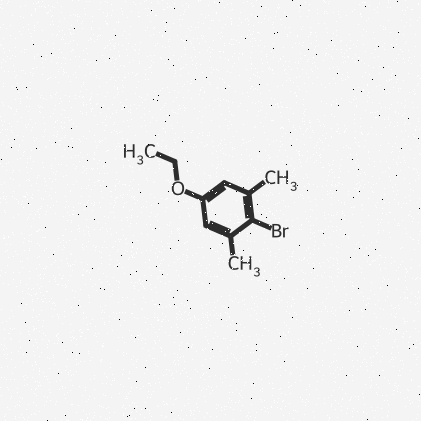 CCOc1cc(C)c(Br)c(C)c1